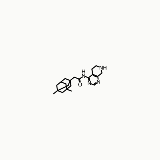 CC12CC3CC(C)(C1)CC(CC(=O)Nc1ncnc4c1CCNC4)(C3)C2